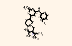 CC(=N)/C(CN1CCCC(c2cc(Nc3cc(C)ccn3)nc(C)n2)C1)=C(/C)N